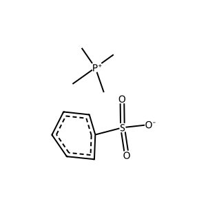 C[P+](C)(C)C.O=S(=O)([O-])c1ccccc1